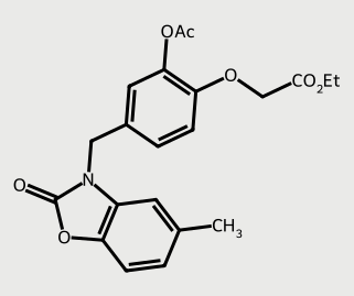 CCOC(=O)COc1ccc(Cn2c(=O)oc3ccc(C)cc32)cc1OC(C)=O